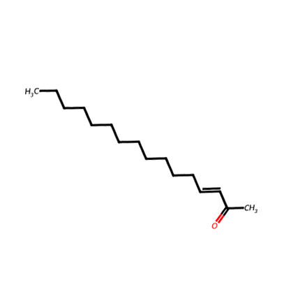 CCCCCCCCCCCCC=CC(C)=O